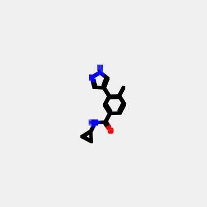 Cc1ccc(C(=O)NC2CC2)cc1-c1cn[nH]c1